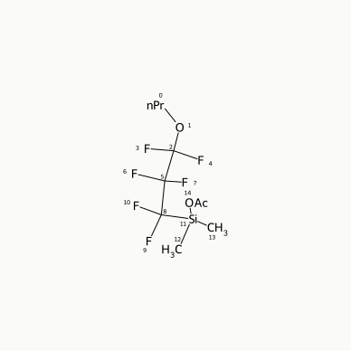 CCCOC(F)(F)C(F)(F)C(F)(F)[Si](C)(C)OC(C)=O